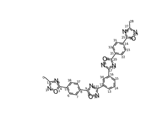 Cc1noc(-c2ccc(-c3nc(-c4cccc(-c5noc(-c6ccc(-c7nc(C)no7)cc6)n5)c4)no3)cc2)n1